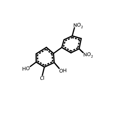 O=[N+]([O-])c1cc(-c2ccc(O)c(Cl)c2O)cc([N+](=O)[O-])c1